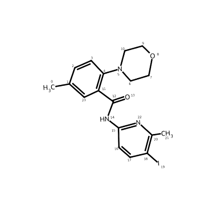 Cc1ccc(N2CCOCC2)c(C(=O)Nc2ccc(I)c(C)n2)c1